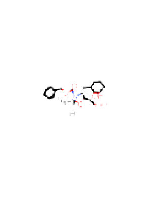 CC1(C)O[C@@H]([C@H](O)CO)[C@H](CC2CCCCC2)N1C(=O)OCc1ccccc1